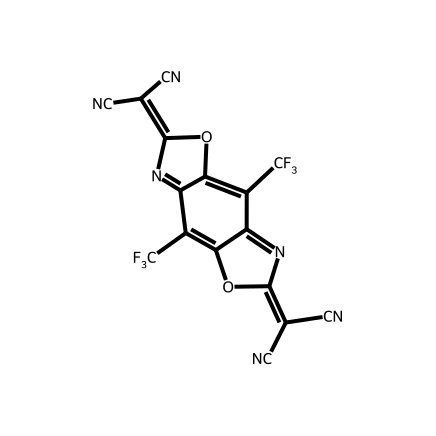 N#CC(C#N)=c1nc2c(C(F)(F)F)c3oc(=C(C#N)C#N)nc3c(C(F)(F)F)c2o1